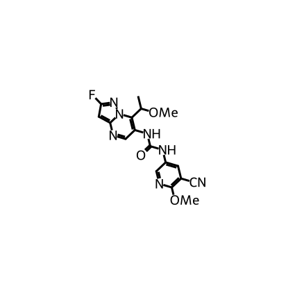 COc1ncc(NC(=O)Nc2cnc3cc(F)nn3c2C(C)OC)cc1C#N